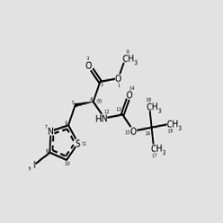 COC(=O)[C@H](Cc1nc(I)cs1)NC(=O)OC(C)(C)C